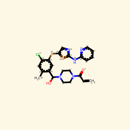 C=CC(=O)N1CCN(C(O)c2cc(Sc3cnc(Nc4ccccn4)s3)c(Cl)cc2C)CC1